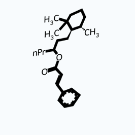 CCCC(CC[C@@H]1[C@@H](C)CCCC1(C)C)OC(=O)/C=C/c1ccccc1